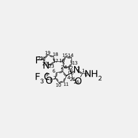 NC1=N[C@@](c2ccc(OC(F)(F)F)cc2)(c2cccc(-c3ccc(F)nc3)c2)CO1